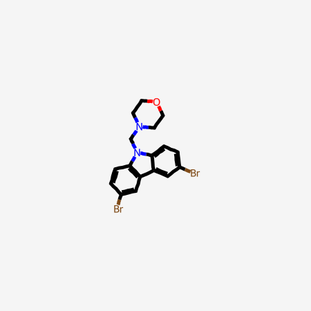 Brc1ccc2c(c1)c1cc(Br)ccc1n2CN1CCOCC1